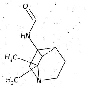 CC1(C)C(NC=O)C2CCN1CC2